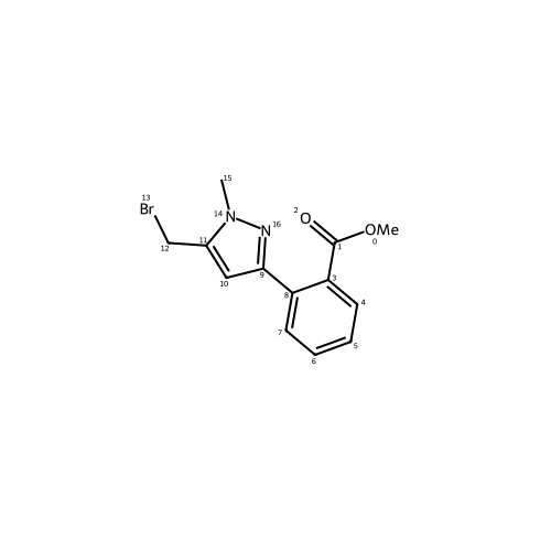 COC(=O)c1ccccc1-c1cc(CBr)n(C)n1